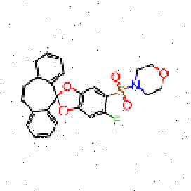 O=S(=O)(c1cc2c(cc1F)OC1(O2)c2ccccc2CCc2ccccc21)N1CCOCC1